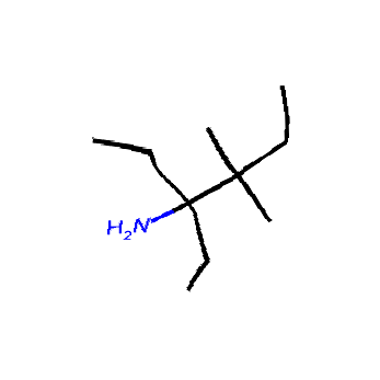 CCC(C)(C)C(N)(CC)CC